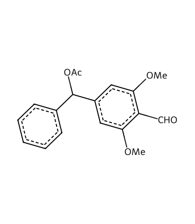 COc1cc(C(OC(C)=O)c2ccccc2)cc(OC)c1C=O